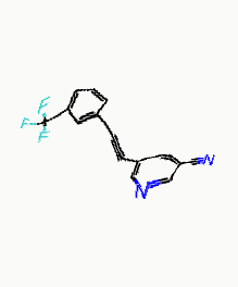 N#Cc1cncc(C#Cc2cccc(C(F)(F)F)c2)c1